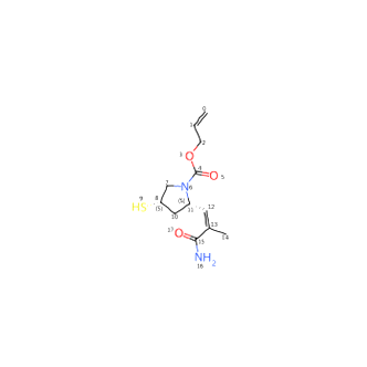 C=CCOC(=O)N1C[C@@H](S)C[C@H]1C=C(C)C(N)=O